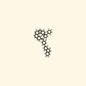 c1ccc(-c2ccc(N(c3ccc(-c4ccc5c(ccc6ccccc65)c4)cc3)c3ccc4ccc5ccc6oc7ccccc7c6c5c4c3)cc2)cc1